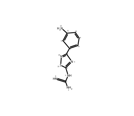 N=C(N)Nc1nc(-c2cccc(N)c2)ns1